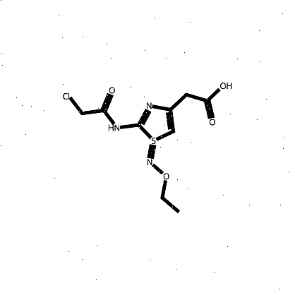 CCON=S1C=C(CC(=O)O)N=C1NC(=O)CCl